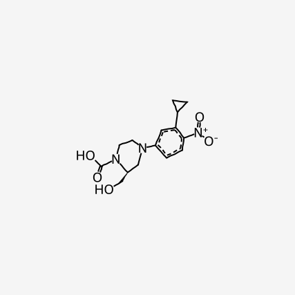 O=C(O)N1CCN(c2ccc([N+](=O)[O-])c(C3CC3)c2)C[C@H]1CO